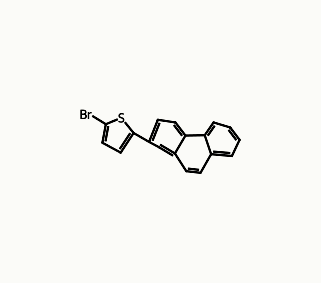 Brc1ccc(-c2ccc3c(ccc4ccccc43)c2)s1